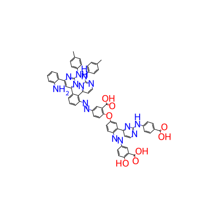 Cc1ccc(Nc2nc(-c3ccccc3N)cc(-c3cccc(/N=N/c4ccc(Oc5ccc(/N=N/c6ccc(O)c(C(=O)O)c6)c(-c6ccnc(Nc7ccc(C(=O)O)cc7)n6)c5)c(C(=O)O)c4)c3-c3ccnc(Nc4ccc(C)cc4)n3)n2)cc1